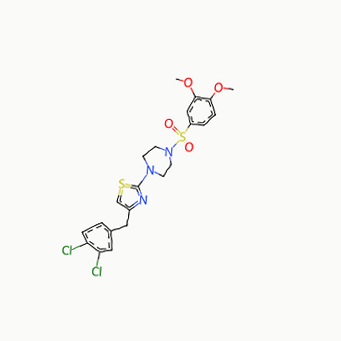 COc1ccc(S(=O)(=O)N2CCN(c3nc(Cc4ccc(Cl)c(Cl)c4)cs3)CC2)cc1OC